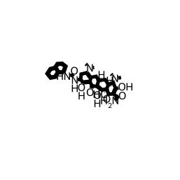 CN(C)C1=C2C[C@H]3C[C@H]4[C@H](N(C)C)C(O)=C(C(N)=O)C(=O)[C@@]4(O)C(O)=C3C(=O)C2=C(O)C(NC(=O)Nc2cccc3ccccc23)C1